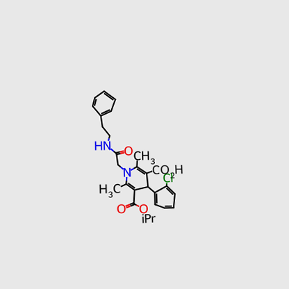 CC1=C(C(=O)O)C(c2ccccc2Cl)C(C(=O)OC(C)C)=C(C)N1CC(=O)NCCc1ccccc1